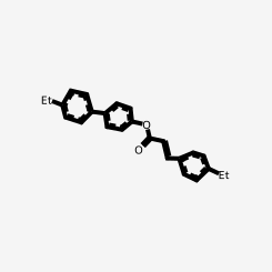 CCc1ccc(/C=C/C(=O)Oc2ccc(-c3ccc(CC)cc3)cc2)cc1